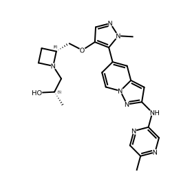 Cc1cnc(Nc2cc3cc(-c4c(OC[C@H]5CCN5C[C@H](C)O)cnn4C)ccn3n2)cn1